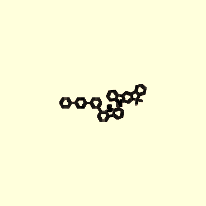 CC1(C)c2ccccc2-c2cc3c4ccccc4n(-c4cccc5c4sc4c(-c6cccc(-c7ccc(-c8ccccc8)cc7)c6)cccc45)c3cc21